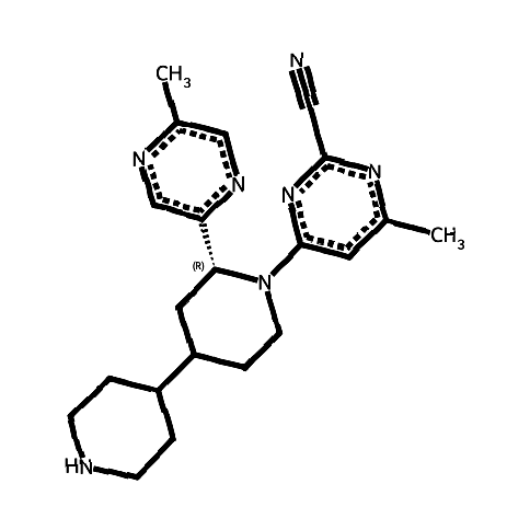 Cc1cnc([C@H]2CC(C3CCNCC3)CCN2c2cc(C)nc(C#N)n2)cn1